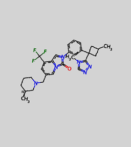 CC1CC(c2cccc(-n3cc4c(C(F)(F)F)cc(CN5CCC[C@H](C)C5)cn4c3=O)c2)(c2nncn2C)C1